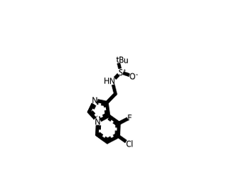 CC(C)(C)[S+]([O-])NCc1ncn2ccc(Cl)c(F)c12